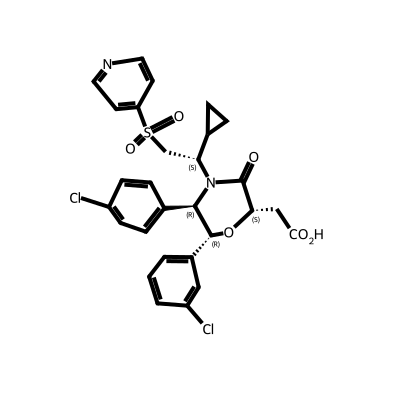 O=C(O)C[C@@H]1O[C@H](c2cccc(Cl)c2)[C@@H](c2ccc(Cl)cc2)N([C@H](CS(=O)(=O)c2ccncc2)C2CC2)C1=O